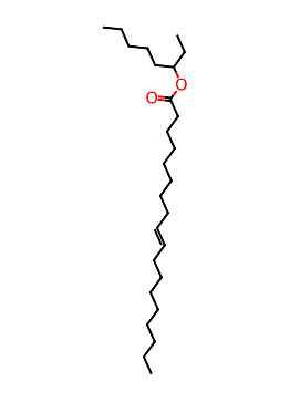 CCCCCCCCC=CCCCCCCCC(=O)OC(CC)CCCCC